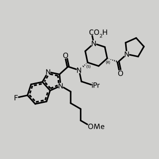 COCCCCn1c(C(=O)N(CC(C)C)[C@H]2C[C@@H](C(=O)N3CCCC3)CN(C(=O)O)C2)nc2cc(F)ccc21